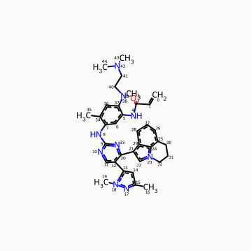 C=CC(=O)Nc1cc(Nc2ncc(-c3cc(C)nn3C)c(-c3cn4c5c(cccc35)CCC4)n2)c(C)cc1N(C)CCN(C)C